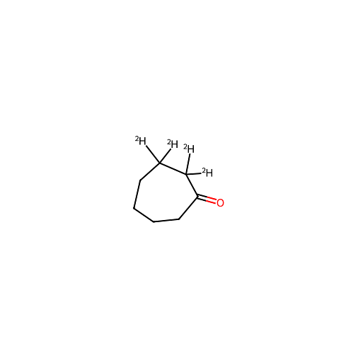 [2H]C1([2H])CCCCC(=O)C1([2H])[2H]